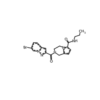 CCCNC(=O)c1ccc2n1CCN(C(=O)c1cc3ccc(Br)cn3n1)C2